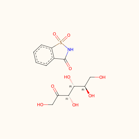 O=C(CO)[C@@H](O)[C@H](O)[C@H](O)CO.O=C1NS(=O)(=O)c2ccccc21